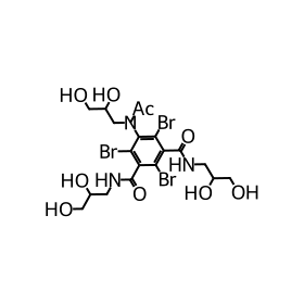 CC(=O)N(CC(O)CO)c1c(Br)c(C(=O)NCC(O)CO)c(Br)c(C(=O)NCC(O)CO)c1Br